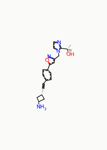 C[C@H](O)c1nccn1Cc1cc(-c2ccc(C#C[C@H]3C[C@H](N)C3)cc2)on1